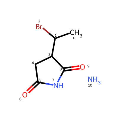 CC(Br)C1CC(=O)NC1=O.N